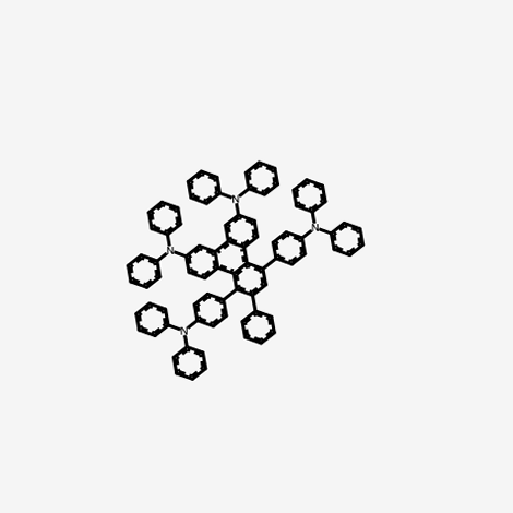 c1ccc(-c2cc(-c3ccc(N(c4ccccc4)c4ccccc4)cc3)c3c4ccc(N(c5ccccc5)c5ccccc5)cc4c4cc(N(c5ccccc5)c5ccccc5)ccc4c3c2-c2ccc(N(c3ccccc3)c3ccccc3)cc2)cc1